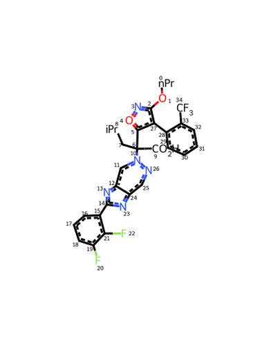 CCCOc1noc(C(CC(C)C)(C(=O)O)n2cc3nc(-c4cccc(F)c4F)nc-3cn2)c1-c1ccccc1C(F)(F)F